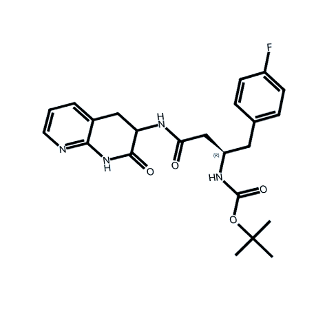 CC(C)(C)OC(=O)N[C@@H](CC(=O)NC1Cc2cccnc2NC1=O)Cc1ccc(F)cc1